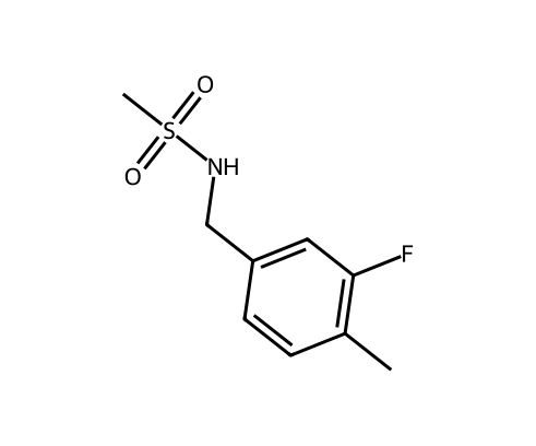 Cc1ccc(CNS(C)(=O)=O)cc1F